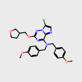 COc1ccc(CN(Cc2ccc(OC)cc2)c2nc(OCC3CCOC3)nn3c(Br)cnc23)cc1